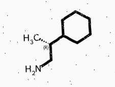 C[C@@H](CN)C1CCCCC1